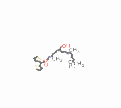 CC(C)=CCC/C(C)=C/CC/C(=C\CC/C(C)=C/COC(=O)C(c1cccs1)c1cccs1)CO